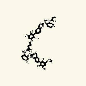 C=CC(=O)N[C@H]1COCC[C@H]1Nc1ncc2cc(-c3c(Cl)c(OC)cc(OC/C=C/C(=O)N[C@@H]4CCNC[C@@H]4Nc4ncc5cc(-c6c(Cl)c(OC)cc(OC)c6Cl)ccc5n4)c3Cl)ccc2n1